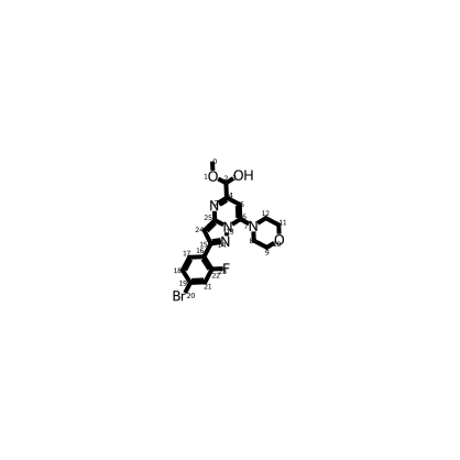 COC(O)c1cc(N2CCOCC2)n2nc(-c3ccc(Br)cc3F)cc2n1